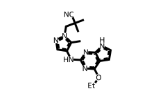 CCOc1nc(Nc2cnn(CC(C)(C)C#N)c2C)nc2[nH]ccc12